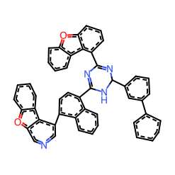 c1ccc(-c2cccc(C3N=C(c4cccc5oc6ccccc6c45)N=C(c4ccc(-c5cncc6oc7ccccc7c56)c5ccccc45)N3)c2)cc1